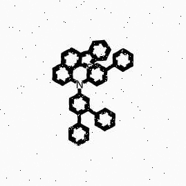 c1ccc(-c2ccc(N(c3ccc(-c4ccccc4)c(-c4ccccc4)c3)c3cccc4ccc5c6ccccc6sc5c34)cc2)cc1